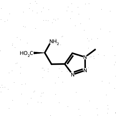 Cn1cc(C[C@H](N)C(=O)O)nn1